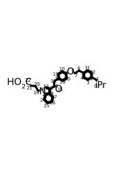 CC(C)Cc1ccc(CCOc2ccc(CC(=O)c3cn(CCCC(=O)O)c4ccccc34)cc2)cc1